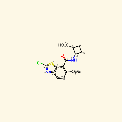 COc1ccc2nc(Cl)sc2c1C(=O)N[C@@H]1CC[C@@H]1C(=O)O